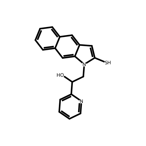 OC(Cn1c(S)cc2cc3ccccc3cc21)c1ccccn1